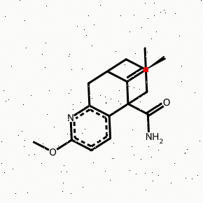 C/C=C1\C2Cc3nc(OC)ccc3C1(C(N)=O)C[C@H](C)C2